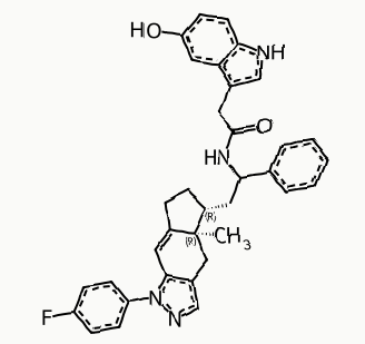 C[C@]12Cc3cnn(-c4ccc(F)cc4)c3C=C1CC[C@@H]2CC(NC(=O)Cc1c[nH]c2ccc(O)cc12)c1ccccc1